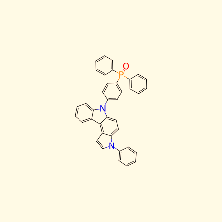 O=P(c1ccccc1)(c1ccccc1)c1ccc(-n2c3ccccc3c3c4ccn(-c5ccccc5)c4ccc32)cc1